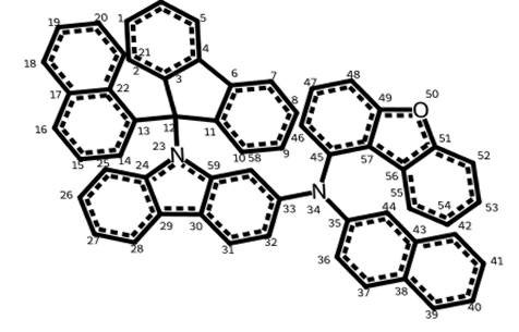 c1ccc2c(c1)-c1ccccc1C2(c1cccc2ccccc12)n1c2ccccc2c2ccc(N(c3ccc4ccccc4c3)c3cccc4oc5ccccc5c34)cc21